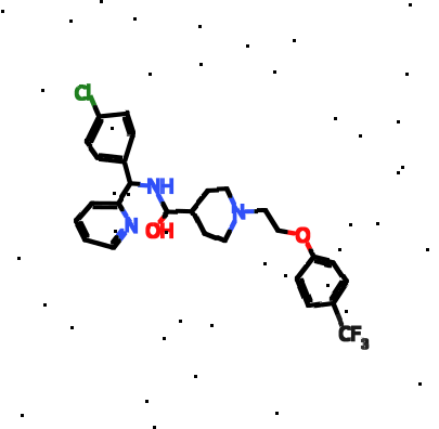 OC(NC(c1ccc(Cl)cc1)c1ccccn1)C1CCN(CCOc2ccc(C(F)(F)F)cc2)CC1